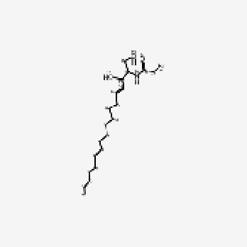 CCCCCCCCCCCCCC=CC(O)C(CO)NC(=O)CBr